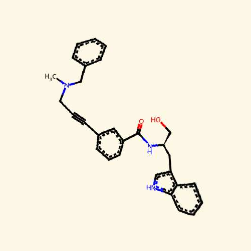 CN(CC#Cc1cccc(C(=O)N[C@@H](CO)Cc2c[nH]c3ccccc23)c1)Cc1ccccc1